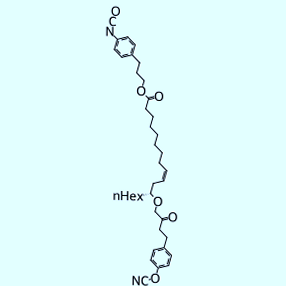 CCCCCC[C@H](C/C=C\CCCCCCCC(=O)OCCCc1ccc(N=C=O)cc1)OCC(=O)CCc1ccc(OC#N)cc1